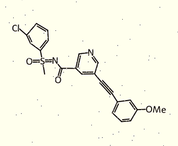 COc1cccc(C#Cc2cncc(C(=O)N=S(C)(=O)c3cccc(Cl)c3)c2)c1